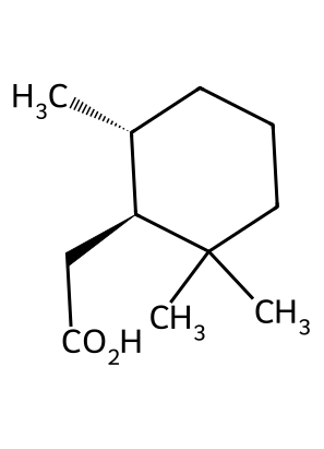 C[C@@H]1CCCC(C)(C)[C@H]1CC(=O)O